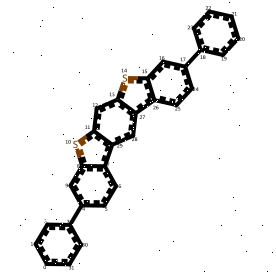 c1ccc(-c2ccc3c(c2)sc2cc4sc5cc(-c6ccccc6)ccc5c4cc23)cc1